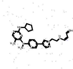 N=C/C=C\NCCn1cc(-c2ccc(N(N)c3nc(NC4CCCC4)ncc3N)nc2)cn1